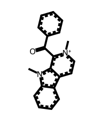 Cn1c2ccccc2c2cc[n+](C)c(C(=O)c3ccccc3)c21